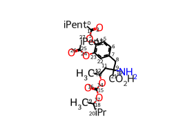 CCCC(C)C(=O)Oc1ccc(CC(N)(C[C@H](C)OC(=O)OC(C)C(C)C)C(=O)O)cc1OC(=O)C(C)CCC